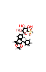 CS(=O)(=O)C1O[C@@H](c2ccc(C3CC3)c(C(C3=CC=CCC3)C3=COC=CO3)c2)[C@H](O)[C@@H](O)[C@@H]1O